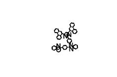 c1ccc2c(c1)cc(-c1cc(-c3cc4ccccc4c4ccccc34)nc(-c3ccc(-n4c(-c5ccc(-c6nc7ccccc7o6)cc5)nc5ccccc54)cc3)n1)c1ccccc12